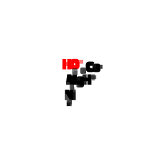 [Co].[MgH+].[Ni].[OH-]